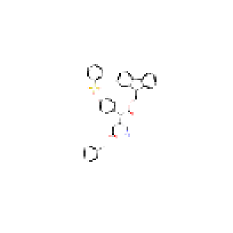 NCC(CC(=O)OCc1ccccc1)C(C(=O)OCC1c2ccccc2-c2ccccc21)c1ccc(OS(=O)(=O)c2ccccc2)cc1